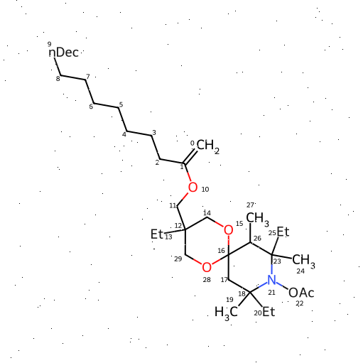 C=C(CCCCCCCCCCCCCCCCC)OCC1(CC)COC2(CC(C)(CC)N(OC(C)=O)C(C)(CC)C2C)OC1